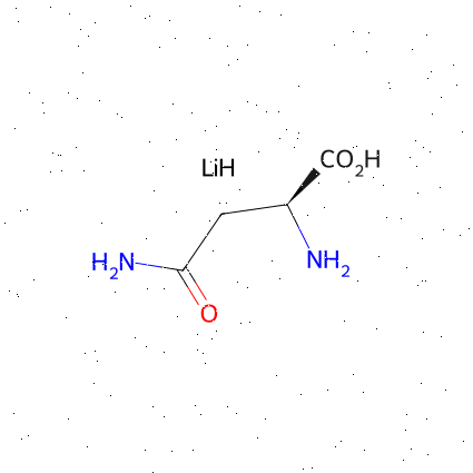 NC(=O)C[C@H](N)C(=O)O.[LiH]